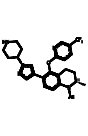 CC(=O)N1c2ccc(-c3cnn(C4CCNCC4)c3)c(Oc3ccc(C(F)(F)F)cn3)c2CC[C@@H]1C